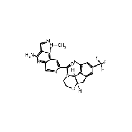 Cn1ncc2c(N)nc3cnc(C(=O)N4CCO[C@@H]5Cc6cc(C(F)(F)F)cc(F)c6[C@@H]54)cc3c21